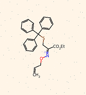 C=CCO/N=C(\CSC(c1ccccc1)(c1ccccc1)c1ccccc1)C(=O)OCC